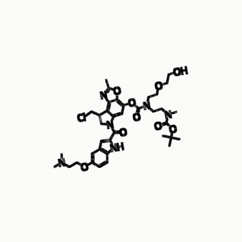 Cc1nc2c3c(cc(OC(=O)N(CCOCCO)CCN(C)C(=O)OC(C)(C)C)c2o1)N(C(=O)c1cc2cc(OCCN(C)C)ccc2[nH]1)CC3CCl